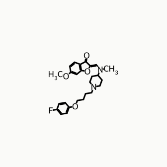 COc1ccc2c(c1)OC(=CN(C)C1CCN(CCCCOc3ccc(F)cc3)CC1)C2=O